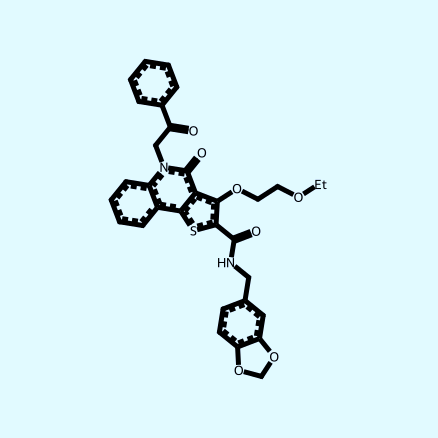 CCOCCOc1c(C(=O)NCc2ccc3c(c2)OCO3)sc2c1c(=O)n(CC(=O)c1ccccc1)c1ccccc21